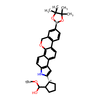 CC(C)(C)OC(O)C1CCC[C@H]1c1cc2c(ccc3c4c(ccc32)-c2ccc(B3OC(C)(C)C(C)(C)O3)cc2CO4)[nH]1